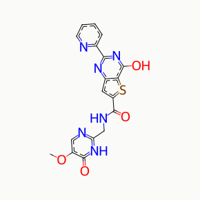 COc1cnc(CNC(=O)c2cc3nc(-c4ccccn4)nc(O)c3s2)[nH]c1=O